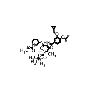 COC(=O)N1CCCC(NC(=O)c2nc(-c3ccc(OC(F)F)c(OCC4CC4)c3)oc2[C@H](C)NC(=O)OC(C)(C)C)C1